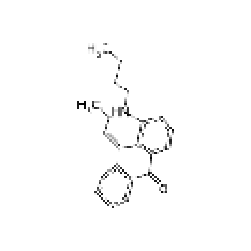 CCC=C1c2ccccc2C(=O)c2cccc(NCCCC)c21